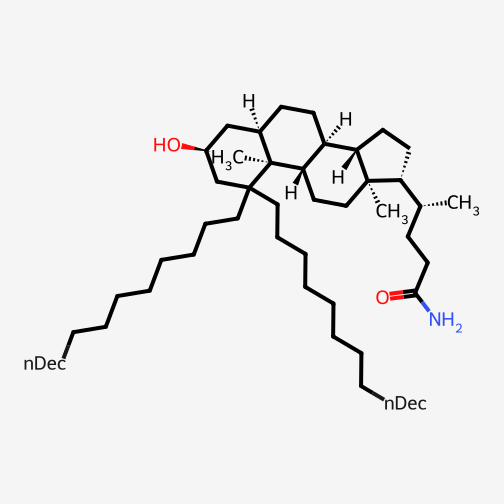 CCCCCCCCCCCCCCCCCCC1(CCCCCCCCCCCCCCCCCC)C[C@@H](O)C[C@H]2CC[C@H]3[C@@H]4CC[C@H]([C@H](C)CCC(N)=O)[C@@]4(C)CC[C@@H]3[C@]21C